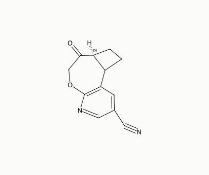 N#Cc1cnc2c(c1)C1CC[C@@H]1C(=O)CO2